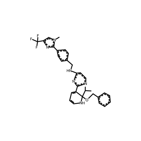 CC(C)C1(OCc2ccccc2)NC=CC=C1c1nccc(NCc2ccc(-c3nc(C(F)(F)F)cn3C)cc2)n1